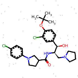 CC(C)(C)Oc1ccc([C@@H](O)[C@@H](CN2CCCC2)NC(=O)C2CCN(c3ccc(Cl)cc3)C2)cc1Cl